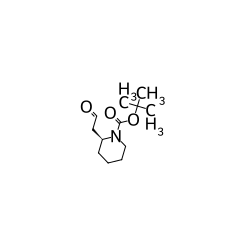 CC(C)(C)OC(=O)N1CCCC[C@H]1CC=O